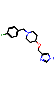 Fc1ccc(CN2CCC(OCc3c[nH]cn3)CC2)cc1